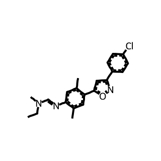 CCN(C)C=Nc1cc(C)c(-c2cc(-c3ccc(Cl)cc3)no2)cc1C